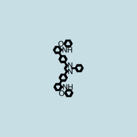 c1ccc(-c2nc(-c3ccc(-c4cccc5c4Nc4ccccc4O5)cc3)cc(-c3ccc(-c4cccc5c4Nc4ccccc4O5)cc3)n2)cc1